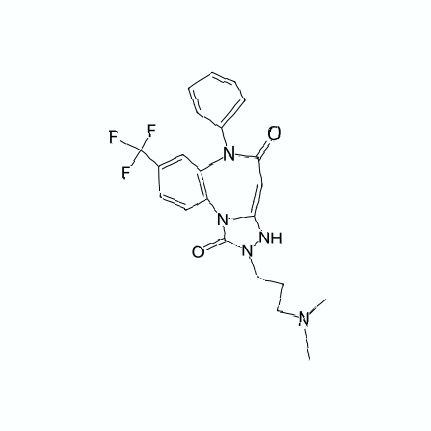 CN(C)CCCN1NC2=CC(=O)N(c3ccccc3)c3cc(C(F)(F)F)ccc3N2C1=O